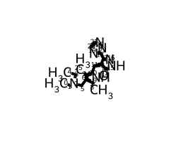 CCN(CC)Cc1c(C)[nH]c(C=C2C(=O)NN=C2c2nccnn2)c1C